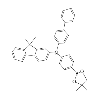 CC1(C)COB(c2ccc(N(c3ccc(-c4ccccc4)cc3)c3ccc4c(c3)C(C)(C)c3ccccc3-4)cc2)O1